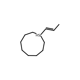 CC=C[SiH]1CCCCCCCC1